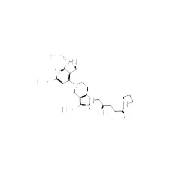 C=C(CCC(=C)N1CCC1)Cn1nc(C)c2c1CCN(c1cc(C)nc3c1cnn3C)C2